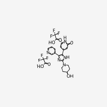 O=C(O)C(F)(F)F.O=C(O)C(F)(F)F.O=c1cc(-c2[nH]c(N3CCC(O)CC3)nc2-c2cccnc2)cc[nH]1